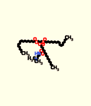 CCCCC/C=C\C/C=C\CCCCCCCC(=O)OCC(COC(=O)CCCCCCC/C=C\C/C=C\CCCCC)OC(=O)CCC(CCCCCCCCCCCC)OC(=O)NCCCN(C)C